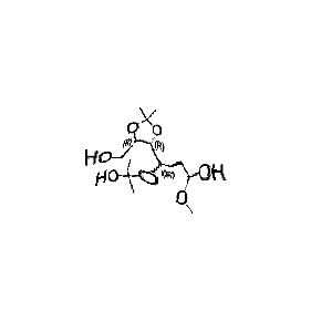 COC(O)C[C@@H](OC(C)(C)O)[C@H]1OC(C)(C)O[C@@H]1CO